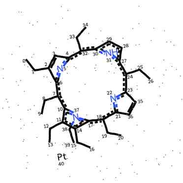 CCC1=Cc2nc1c(CC)c1c(CC)c(CC)c(c(CC)c3nc(c(CC)c4ccc([nH]4)c2CC)C=C3)n1CC.[Pt]